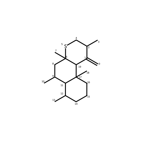 C=C1C(C)CSC2(C)CC(C)C3C(C)CCCC3(C)C12